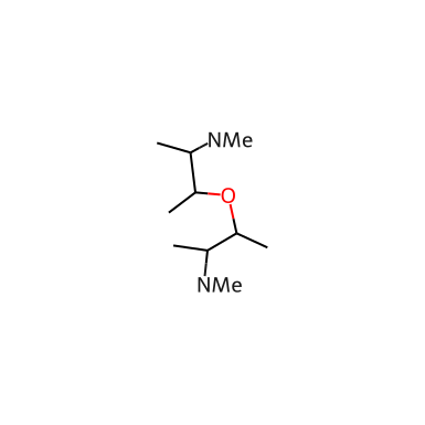 CNC(C)C(C)OC(C)C(C)NC